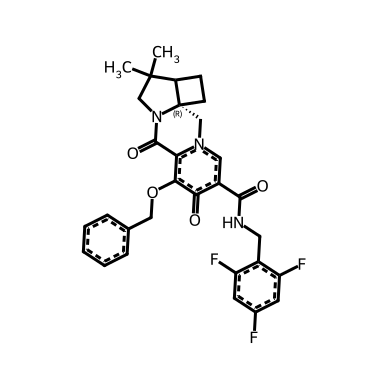 CC1(C)CN2C(=O)c3c(OCc4ccccc4)c(=O)c(C(=O)NCc4c(F)cc(F)cc4F)cn3C[C@]23CCC13